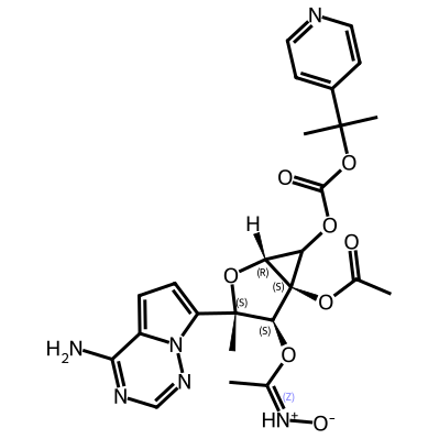 CC(=O)O[C@]12C(OC(=O)OC(C)(C)c3ccncc3)[C@H]1O[C@@](C)(c1ccc3c(N)ncnn13)[C@@H]2O/C(C)=[NH+]\[O-]